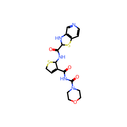 O=C(NC(=O)N1CCOCC1)C1=CCSC1NC(=O)C1Nc2cnccc2S1